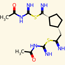 CC(=O)NC(=N)SC(=N)C[C@H]1CC[C@@H](C(=N)SC(=N)NC(C)=O)C1